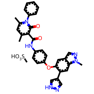 CS(=O)(=O)O.Cc1cc(C)n(-c2ccccc2)c(=O)c1C(=O)Nc1ccc(Oc2cc3cnn(C)c3cc2-c2cn[nH]c2)cc1